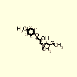 COCCN(C)CC(O)COc1ccc(C)cc1